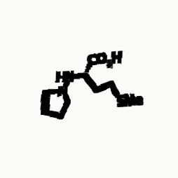 CSCC[C@H](NN1C=CCC1)C(=O)O